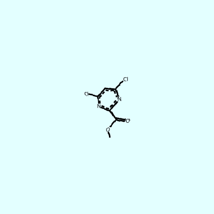 COC(=O)c1nc(Cl)cc(Cl)n1